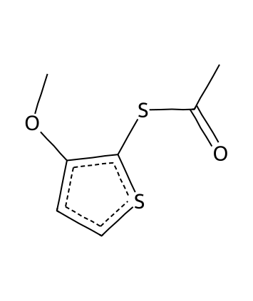 COc1ccsc1SC(C)=O